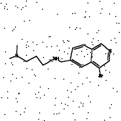 CN(C)CCCNCc1ccc2cncc(Br)c2c1